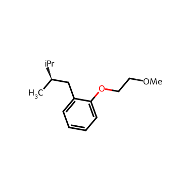 COCCOc1ccccc1C[C@@H](C)C(C)C